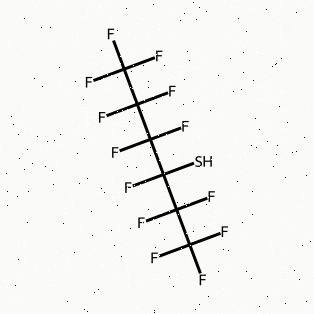 FC(F)(F)C(F)(F)C(F)(F)C(F)(S)C(F)(F)C(F)(F)F